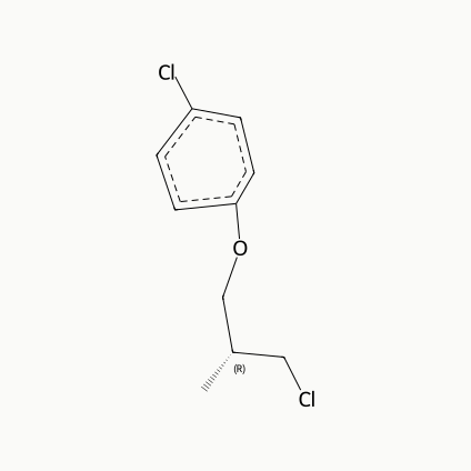 C[C@@H](CCl)COc1ccc(Cl)cc1